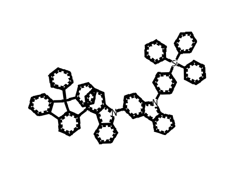 c1ccc(C2(c3ccccc3)c3ccccc3-c3cccc(-c4cccc5c4c4ccccc4n5-c4ccc5c(c4)c4ccccc4n5-c4ccc([Si](c5ccccc5)(c5ccccc5)c5ccccc5)cc4)c32)cc1